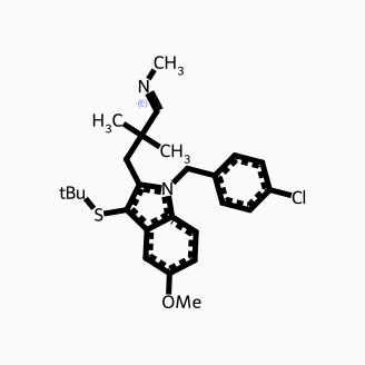 C/N=C/C(C)(C)Cc1c(SC(C)(C)C)c2cc(OC)ccc2n1Cc1ccc(Cl)cc1